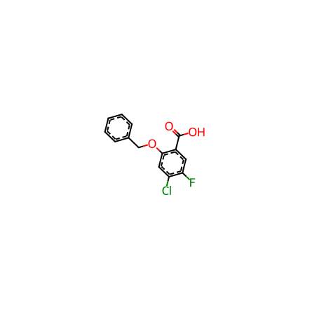 O=C(O)c1cc(F)c(Cl)cc1OCc1ccccc1